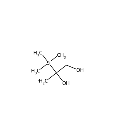 [CH2]C(O)(CO)[Si](C)(C)C